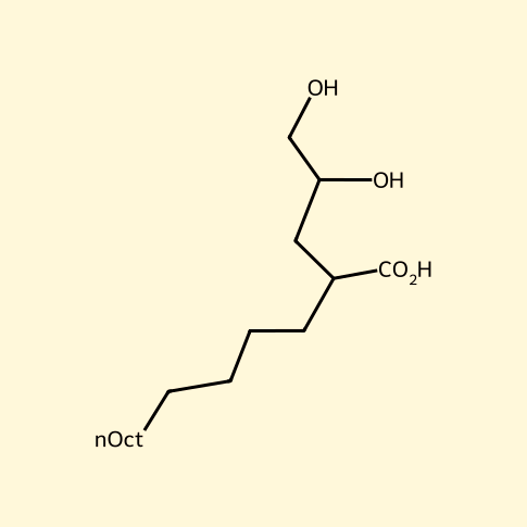 CCCCCCCCCCCCC(CC(O)CO)C(=O)O